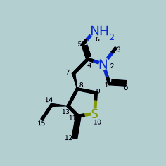 C=CN(C)/C(=C\N)C[C@H]1CSC(=C)[C@H]1CC